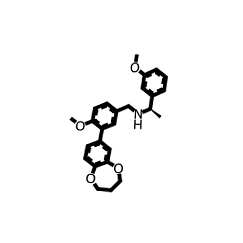 COc1cccc([C@@H](C)NCc2ccc(OC)c(-c3ccc4c(c3)OCCCO4)c2)c1